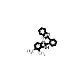 Cc1ccc2nc(-c3ccccc3-c3nc4ccccc4[nH]3)[nH]c2c1C